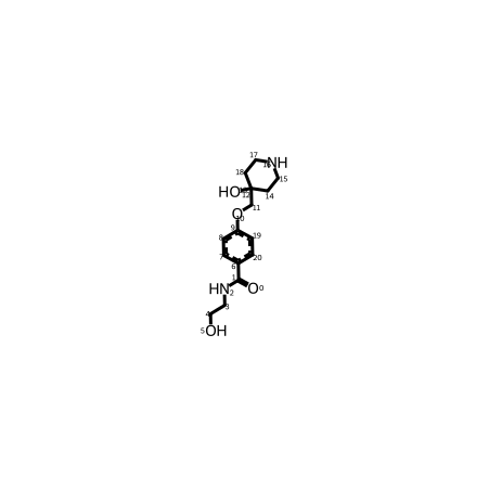 O=C(NCCO)c1ccc(OCC2(O)CCNCC2)cc1